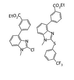 CCOC(=O)c1cccc(-c2cccc3c2nc(Cl)n3C)c1.CCOC(=O)c1cccc(-c2cccc3c2nc(Sc2cccc(C(F)(F)F)c2)n3C)c1